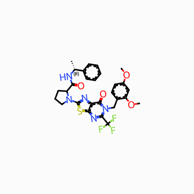 COc1ccc(Cn2c(C(F)(F)F)nc3sc(N4CCCC4C(=O)N[C@H](C)c4ccccc4)nc3c2=O)c(OC)c1